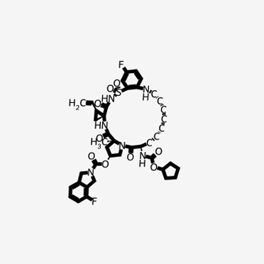 C=C[C@@H]1C[C@@]12NC(=O)[C@]1(C)C[C@@H](OC(=O)N3Cc4cccc(F)c4C3)CN1C(=O)[C@@H](NC(=O)OC1CCCC1)CCCCCCCNc1ccc(F)cc1S(=O)(=O)NC2=O